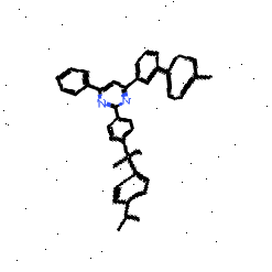 CC1=CC=C(c2cccc(-c3cc(-c4ccccc4)nc(-c4ccc(C(C)(C)c5ccc(C(C)C)cc5)cc4)n3)c2)CC1